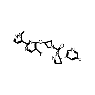 Cn1nccc1-c1ncc(F)c(OC2CN(C(=O)N3N=CC[C@H]3c3cncc(F)c3)C2)n1